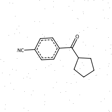 N#Cc1ccc(C(=O)C2CCCC2)cc1